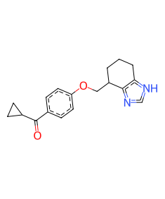 O=C(c1ccc(OCC2CCCc3[nH]cnc32)cc1)C1CC1